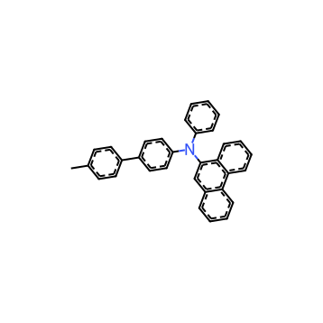 Cc1ccc(-c2ccc(N(c3ccccc3)c3cc4ccccc4c4ccccc34)cc2)cc1